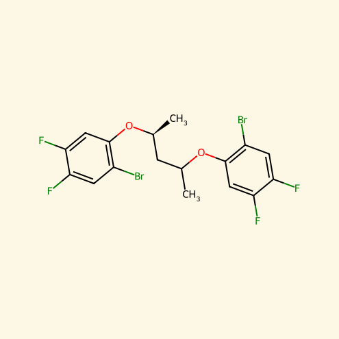 CC(C[C@H](C)Oc1cc(F)c(F)cc1Br)Oc1cc(F)c(F)cc1Br